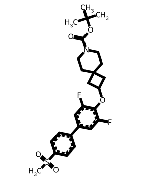 CC(C)(C)OC(=O)N1CCC2(CC1)CC(Oc1c(F)cc(-c3ccc(S(C)(=O)=O)cc3)cc1F)C2